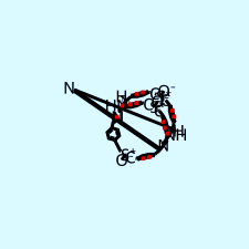 [O-][S+]1Cc2ccc(cc2)C2=N[C@@H]3NC(=N2)c2ccc(cc2)C[S+]([O-])Cc2ccc(cc2)C2=NC(=N[C@@H](N2)c2ccc(cc2)C[S+]([O-])Cc2ccc3cc2)c2ccc(cc2)C1